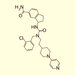 NC(=O)c1ccc2c(c1)C(NC(=O)N(CCC1CCN(c3ccncc3)CC1)Cc1ccccc1Cl)CC2